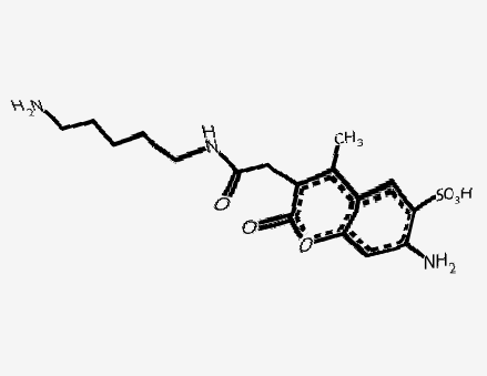 Cc1c(CC(=O)NCCCCCN)c(=O)oc2cc(N)c(S(=O)(=O)O)cc12